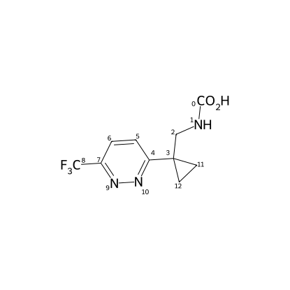 O=C(O)NCC1(c2ccc(C(F)(F)F)nn2)CC1